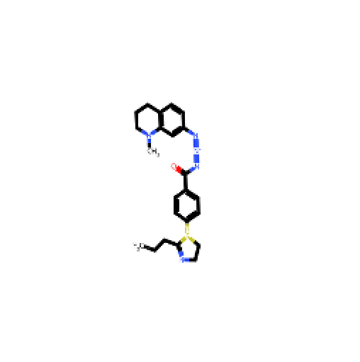 CN1CCCc2ccc(N=[N+]=NC(=O)c3ccc([SH]4CCN=C4CCC(F)(F)F)cc3)cc21